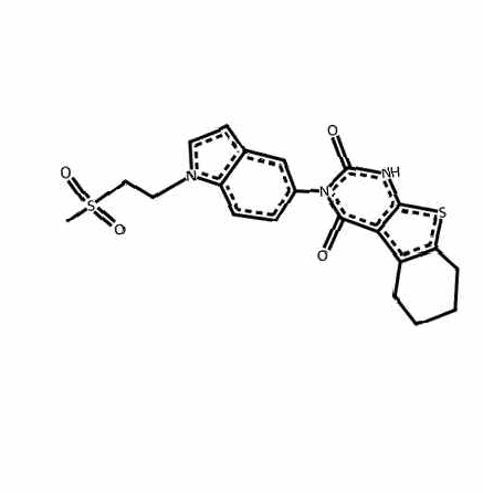 CS(=O)(=O)CCn1ccc2cc(-n3c(=O)[nH]c4sc5c(c4c3=O)CCCC5)ccc21